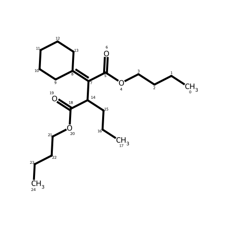 CCCCOC(=O)C(=C1CCCCC1)C(CCC)C(=O)OCCCC